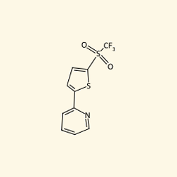 O=S(=O)(c1ccc(-c2ccccn2)s1)C(F)(F)F